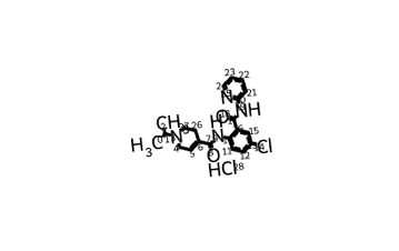 CC(C)N1CC=C(C(=O)Nc2ccc(Cl)cc2C(=O)Nc2ccccn2)CC1.Cl